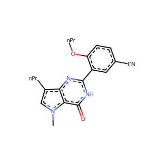 CCCOc1ccc(C#N)cc1-c1nc2c(CCC)cn(C)c2c(=O)[nH]1